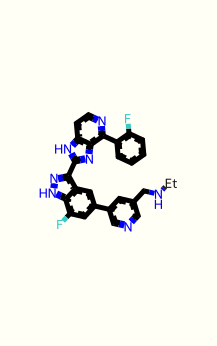 CCNCc1cncc(-c2cc(F)c3[nH]nc(-c4nc5c(-c6ccccc6F)nccc5[nH]4)c3c2)c1